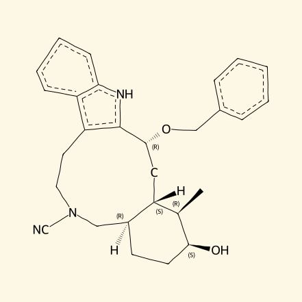 C[C@@H]1[C@H]2C[C@@H](OCc3ccccc3)c3[nH]c4ccccc4c3CCN(C#N)C[C@@H]2CC[C@@H]1O